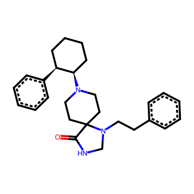 O=C1NCN(CCc2ccccc2)C12CCN([C@@H]1CCCC[C@@H]1c1ccccc1)CC2